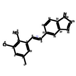 Cc1cc(Cl)c(O)c(/C=N/c2ccc3[nH]nnc3c2)c1